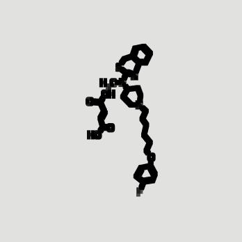 CN(C1=Nc2ccccc2CS1)C1CCN(CCCCCCOc2ccc(F)cc2)CC1.O=C(O)/C=C/C(=O)O